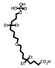 CCC(CC)(CCCCOCCCCC(CC)(CC)CCCC(=O)O)CCCOP(=O)(O)O